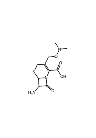 CN(C)OCC1=C(C(=O)O)N2C(=O)C(N)C2SC1